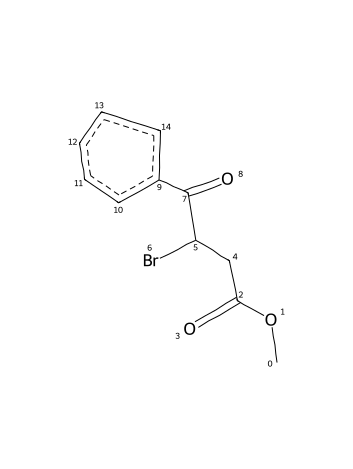 COC(=O)CC(Br)C(=O)c1ccccc1